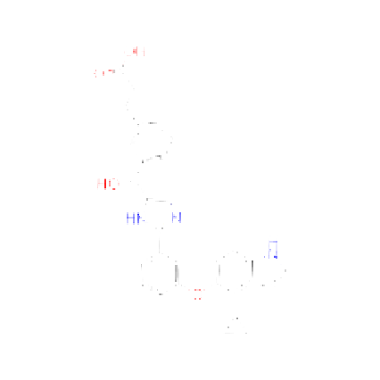 O=C(O)CCc1cccc(C(O)c2cnc(-c3cccc(Oc4ccc5[nH]ccc5c4C4CC4)c3)[nH]2)c1